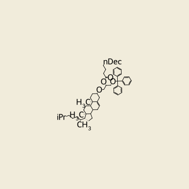 CCCCCCCCCCCCCC(=O)OC(COC1CC[C@@]2(C)C(=CCC3C2CC[C@@]2(C)C3CC[C@@H]2[C@H](C)CCCC(C)C)C1)COC(c1ccccc1)(c1ccccc1)c1ccccc1